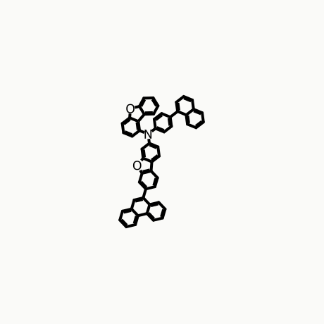 c1ccc2c(-c3ccc(N(c4ccc5c(c4)oc4cc(-c6cc7ccccc7c7ccccc67)ccc45)c4cccc5oc6ccccc6c45)cc3)cccc2c1